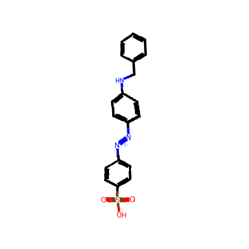 O=S(=O)(O)c1ccc(/N=N/c2ccc(NCc3ccccc3)cc2)cc1